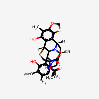 C=CCN1C2c3c(cc(C)c(OC)c3O)CC1[C@H](C#N)N1C2[C@@H]2SCC(NC(=O)C(F)(F)F)C(=O)OC[C@H]1c1c3c(c(C)c(O)c12)OCO3